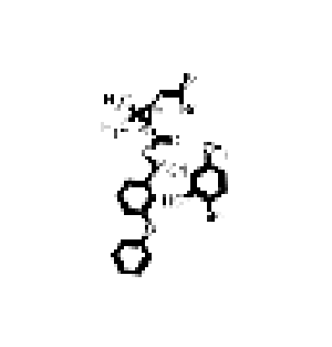 CC1(C)[C@H](C(=O)O[C@H](C#N)c2cccc(Oc3ccccc3)c2)[C@@H]1C=C(Br)Br.Cc1ccc(C(C)C)c(O)c1